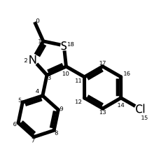 Cc1nc(-c2ccccc2)c(-c2ccc(Cl)cc2)s1